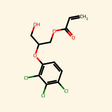 C=CC(=O)OCC(CO)Oc1ccc(Cl)c(Cl)c1Cl